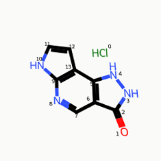 Cl.O=c1[nH][nH]c2c1cnc1[nH]ccc12